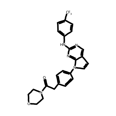 O=C(Cc1ccc(-n2ccc3cnc(Nc4ccc(C(F)(F)F)cc4)nc32)cc1)N1CCOCC1